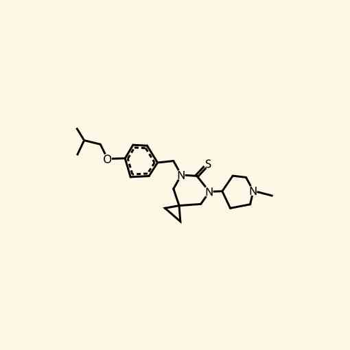 CC(C)COc1ccc(CN2CC3(CC3)CN(C3CCN(C)CC3)C2=S)cc1